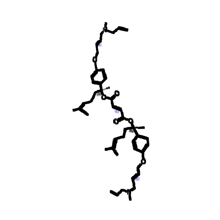 C=CCN(C)C/C=C/COc1ccc([C@](C)(CCC=C(C)C)OC(=O)/C=C/C(=O)O[C@@](C)(CCC=C(C)C)c2ccc(OC/C=C/CN(C)CC=C)cc2)cc1